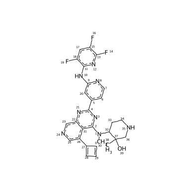 CN(c1nc(-c2ccnc(Nc3nc(F)c(F)cc3F)c2)nc2cncc(C3=CC=C3)c12)C1CCNCC1(C)O